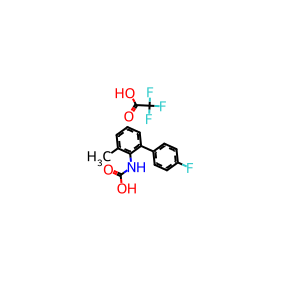 Cc1cccc(-c2ccc(F)cc2)c1NC(=O)O.O=C(O)C(F)(F)F